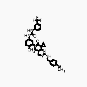 COc1ccc(CNc2ncc3c(n2)C2(CC2)C(=O)N(c2cc(NC(=O)Nc4cccc(C(F)(F)F)c4)ccc2C)C3)cc1